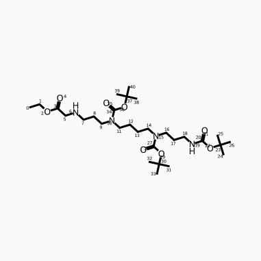 CCOC(=O)CNCCCN(CCCCN(CCCNC(=O)OC(C)(C)C)C(=O)OC(C)(C)C)C(=O)OC(C)(C)C